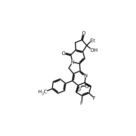 CCC1(O)C(=O)Cc2c1cc1n(c2=O)Cc2c-1nc1c3c(F)c(F)c(c1c2-c1ccc(C)cc1)OCO3